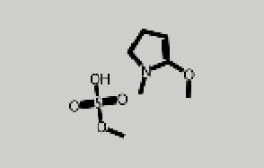 COC1=CCCN1C.COS(=O)(=O)O